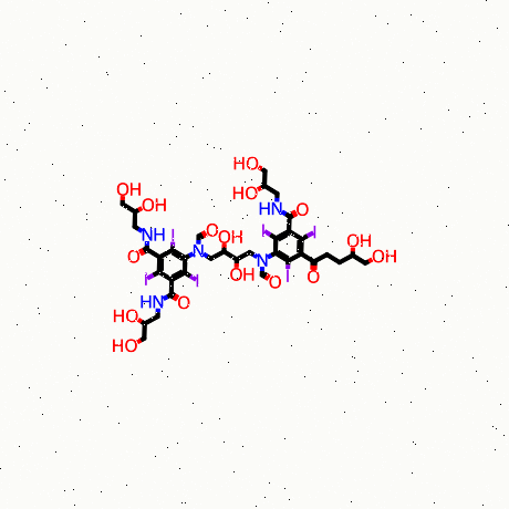 O=CN(CC(O)C(O)CN(C=O)c1c(I)c(C(=O)NCC(O)CO)c(I)c(C(=O)NCC(O)CO)c1I)c1c(I)c(C(=O)CCC(O)CO)c(I)c(C(=O)NCC(O)CO)c1I